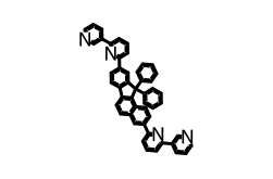 c1ccc(C2(c3ccccc3)c3cc(-c4cccc(-c5cccnc5)n4)ccc3-c3ccc4cc(-c5cccc(-c6cccnc6)n5)ccc4c32)cc1